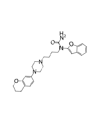 NC(=O)N(CCCCN1CCN(c2ccc3c(c2)OCCC3)CC1)c1cc2ccccc2o1